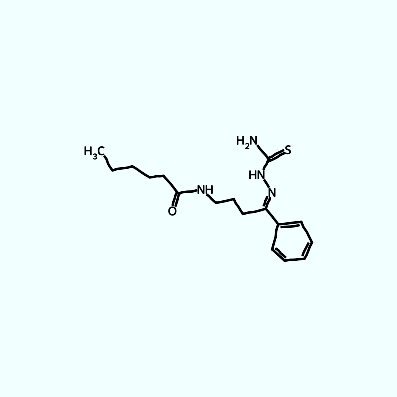 CCCCCC(=O)NCCC/C(=N\NC(N)=S)c1ccccc1